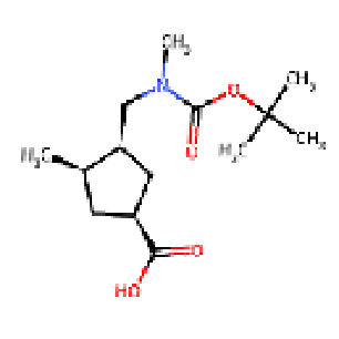 C[C@@H]1C[C@H](C(=O)O)C[C@@H]1CN(C)C(=O)OC(C)(C)C